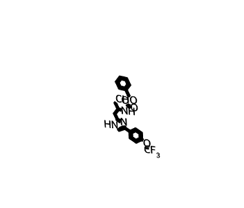 O=CCC(Cc1nc(-c2ccc(OC(F)(F)F)cc2)c[nH]1)NC(=O)OCc1ccccc1